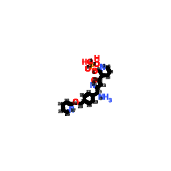 N.O=P(O)(O)Oc1ncccc1-c1cc(Cc2ccc(COc3ccccn3)cc2)no1